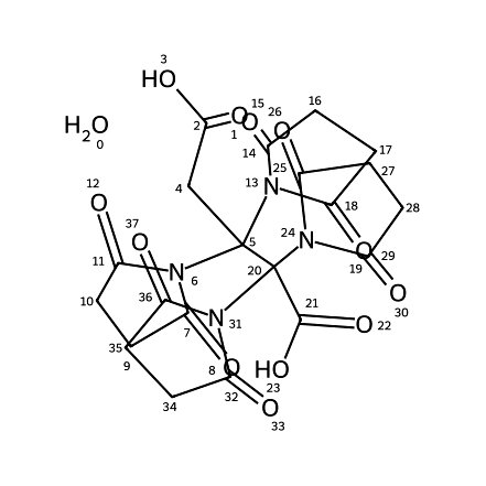 O.O=C(O)CC(N1C(=O)CCC1=O)(N1C(=O)CCC1=O)C(C(=O)O)(N1C(=O)CCC1=O)N1C(=O)CCC1=O